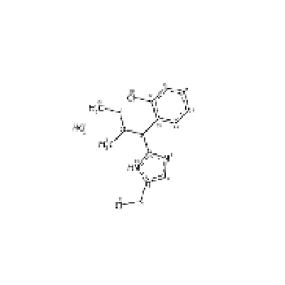 CCC(C)C(c1ncc(CCl)[nH]1)c1ccccc1Cl.Cl